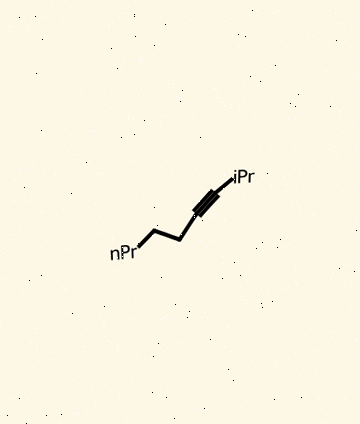 [CH2]C(C)C#CCCCCC